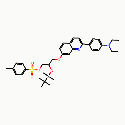 CCN(CC)c1ccc(-c2ccc3ccc(OCC(COS(=O)(=O)c4ccc(C)cc4)O[Si](C)(C)C(C)(C)C)cc3n2)cc1